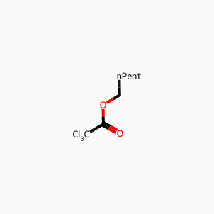 [CH2]CCCCCOC(=O)C(Cl)(Cl)Cl